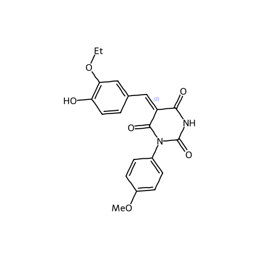 CCOc1cc(/C=C2/C(=O)NC(=O)N(c3ccc(OC)cc3)C2=O)ccc1O